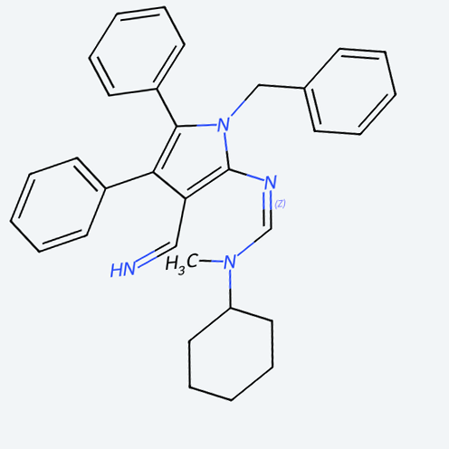 CN(/C=N\c1c(C=N)c(-c2ccccc2)c(-c2ccccc2)n1Cc1ccccc1)C1CCCCC1